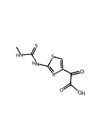 CNC(=S)Nc1nc(C(=O)C(=O)O)cs1